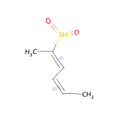 C/C=C\C=C(/C)[SH](=O)=O